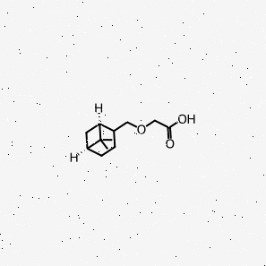 CC1(C)[C@H]2CCC(COCC(=O)O)[C@@H]1C2